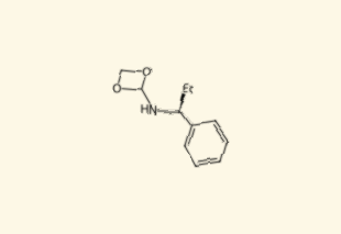 CC[C@H](NC1OCO1)c1ccccc1